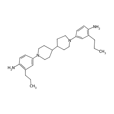 CCCc1cc(N2CCC(C3CCN(c4ccc(N)c(CCC)c4)CC3)CC2)ccc1N